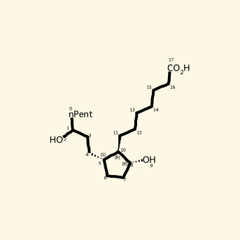 CCCCCC(O)CC[C@H]1CC[C@@H](O)[C@@H]1CCCCCCC(=O)O